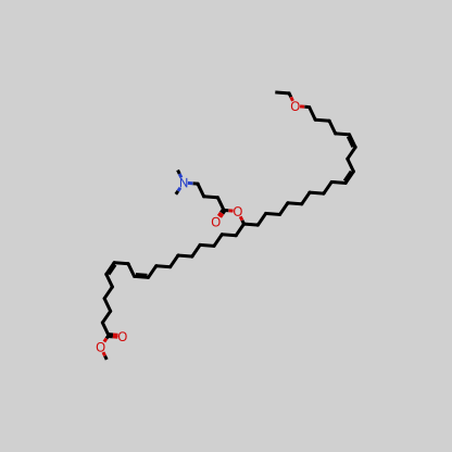 CCOCCCC/C=C\C/C=C\CCCCCCCCC(CCCCCCCC/C=C\C/C=C\CCCCC(=O)OC)OC(=O)CCCN(C)C